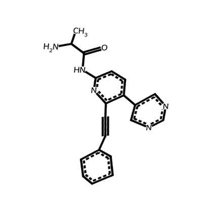 CC(N)C(=O)Nc1ccc(-c2cncnc2)c(C#Cc2ccccc2)n1